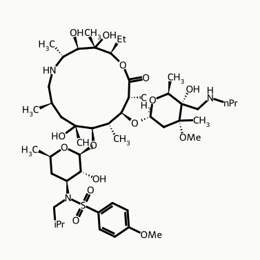 CCCNC[C@]1(O)[C@H](C)O[C@@H](O[C@H]2[C@H](C)[C@@H](O[C@@H]3O[C@H](C)C[C@H](N(CC(C)C)S(=O)(=O)c4ccc(OC)cc4)[C@H]3O)[C@](C)(O)C[C@@H](C)CN[C@H](C)[C@@H](O)[C@](C)(O)[C@@H](CC)OC(=O)[C@@H]2C)C[C@@]1(C)OC